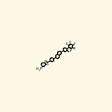 Cc1cc(-c2ccc3cc(-c4ccc(-c5nc6ccc(P)cc6s5)cc4)ccc3c2)ccc1-c1c(F)c(F)c(F)c(F)c1F